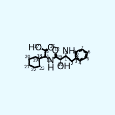 N[C@H](Cc1ccccc1)[C@H](O)C(=O)N[C@H](C(=O)O)C1CCCCC1